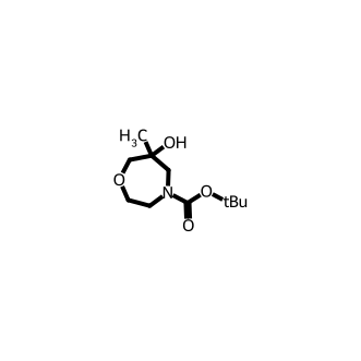 CC1(O)COCCN(C(=O)OC(C)(C)C)C1